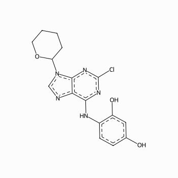 Oc1ccc(Nc2nc(Cl)nc3c2ncn3C2CCCCO2)c(O)c1